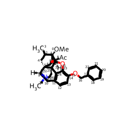 CO[C@]12C(C)C[C@@]3(C[C@@H]1C(C)=O)[C@H]1Cc4ccc(OCc5ccccc5)c5c4[C@@]3(CCN1C)[C@H]2O5